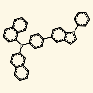 c1ccc(-n2ccc3cc(-c4ccc(N(c5ccc6ccccc6c5)c5cccc6ccccc56)cc4)ccc32)cc1